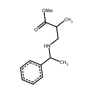 COC(=O)C(C)CNC(C)c1ccccc1